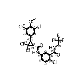 COc1c(Cl)cc([C@H]2[C@H](C(=O)Nc3ccc(Cl)c(C(=O)NCC(F)(F)F)c3)C2(Cl)Cl)cc1Cl